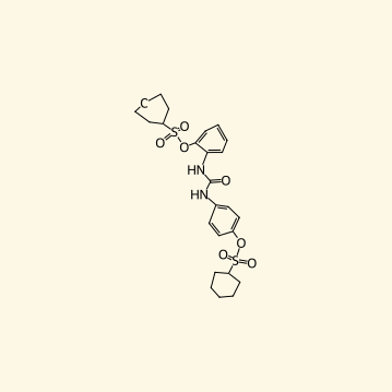 O=C(Nc1ccc(OS(=O)(=O)C2CCCCC2)cc1)Nc1ccccc1OS(=O)(=O)C1CCCCC1